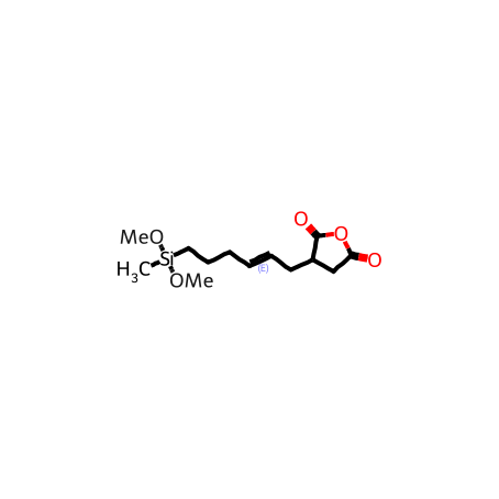 CO[Si](C)(CCC/C=C/CC1CC(=O)OC1=O)OC